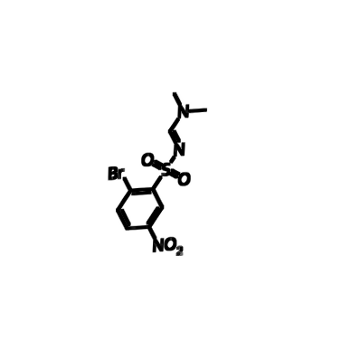 CN(C)C=NS(=O)(=O)c1cc([N+](=O)[O-])ccc1Br